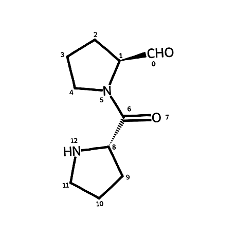 O=C[C@@H]1CCCN1C(=O)[C@@H]1CCCN1